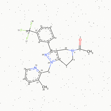 CC(=O)N1CCc2c(c(-c3cccc(C(F)(F)F)c3)nn2Cc2ncccc2C)C1